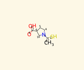 CC(S)N1CCC(C(=O)O)C1